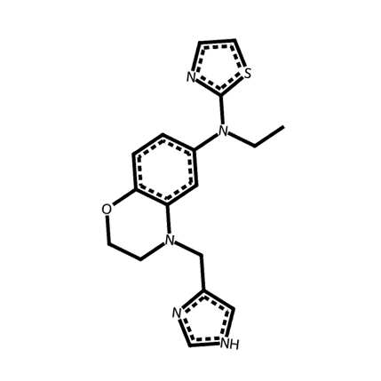 CCN(c1ccc2c(c1)N(Cc1c[nH]cn1)CCO2)c1nccs1